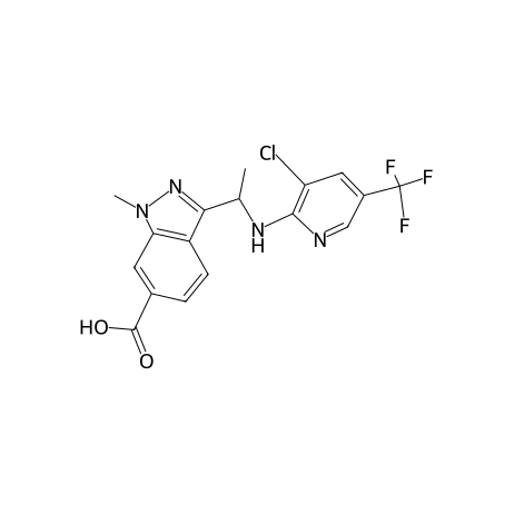 CC(Nc1ncc(C(F)(F)F)cc1Cl)c1nn(C)c2cc(C(=O)O)ccc12